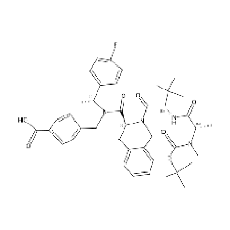 C[C@H](c1ccc(F)cc1)N(Cc1ccc(C(=O)O)cc1)C(=O)[C@@H]1Cc2ccccc2CN1C(=O)[C@@H](NC(=O)[C@H](C)N(C)C(=O)OC(C)(C)C)C(C)(C)C